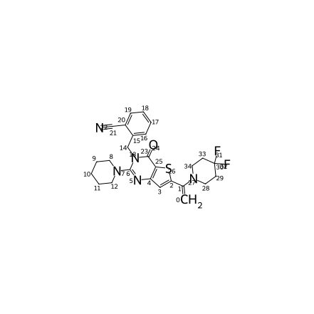 C=C(c1cc2nc(N3CCCCC3)n(Cc3ccccc3C#N)c(=O)c2s1)N1CCC(F)(F)CC1